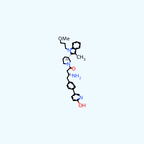 COCCCn1c([C@H]2CCCN(C(=O)C[C@H](N)Cc3ccc(-c4ccc(O)nc4)cc3)C2)c(C)c2ccccc21